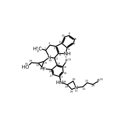 CC1Cc2c([nH]c3ccccc23)C(c2c(F)cc(NC3CN(CCCF)C3)cc2F)N1C1CC1CO